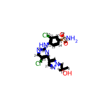 CC(C)(O)Cn1cc(-c2nc(Nc3ccc(S(N)(=O)=O)cc3Cl)ncc2Cl)cn1